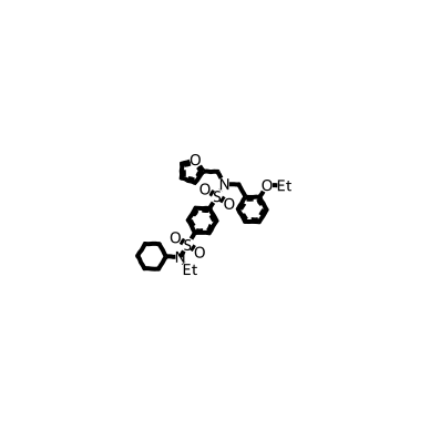 CCOc1ccccc1CN(Cc1ccco1)S(=O)(=O)c1ccc(S(=O)(=O)N(CC)C2CCCCC2)cc1